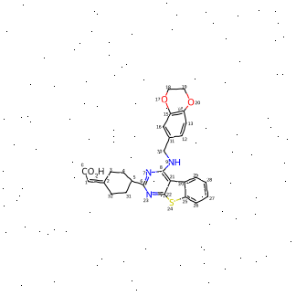 O=C(O)C=C1CCC(c2nc(NCc3ccc4c(c3)OCCO4)c3c(n2)sc2ccccc23)CC1